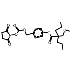 CCCC(CCC)(COC)C(=O)Oc1ccc(COC(=O)ON2C(=O)CCC2=O)cc1